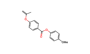 C=C(C)Oc1ccc(C(=O)Oc2ccc(OC)cc2)cc1